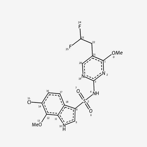 COc1nc(NS(=O)(=O)c2c[nH]c3c(OC)c(Cl)ccc23)ncc1CC(F)F